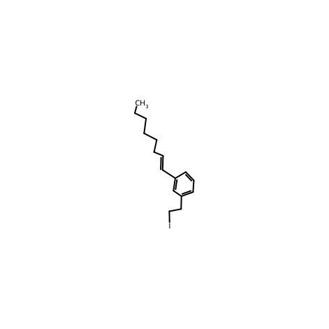 CCCCCCC=Cc1cccc(CCI)c1